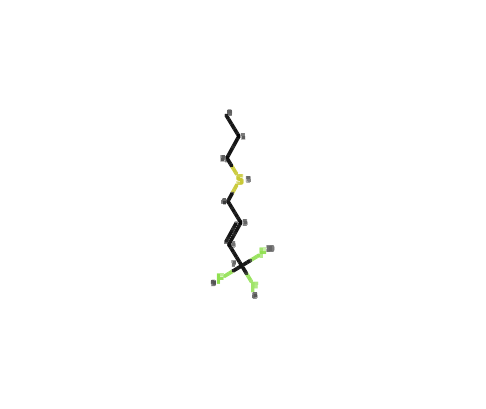 CC[CH]SC/C=C/C(F)(F)F